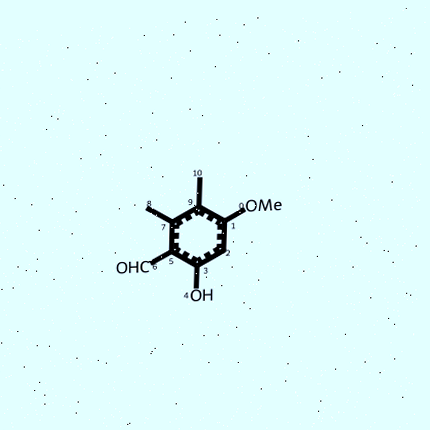 COc1cc(O)c(C=O)c(C)c1C